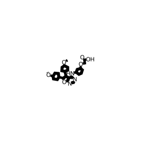 COc1ccc(-c2oc3ncnc(Nc4cccc(OCC(=O)O)c4)c3c2-c2ccc(OC)cc2)cc1